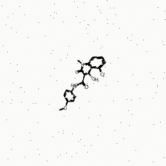 COc1ccc(NC(=O)c2c(O)c3c(Cl)cccc3n(C)c2=O)cc1